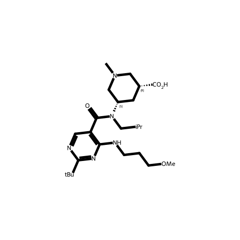 COCCCNc1nc(C(C)(C)C)ncc1C(=O)N(CC(C)C)[C@H]1C[C@@H](C(=O)O)CN(C)C1